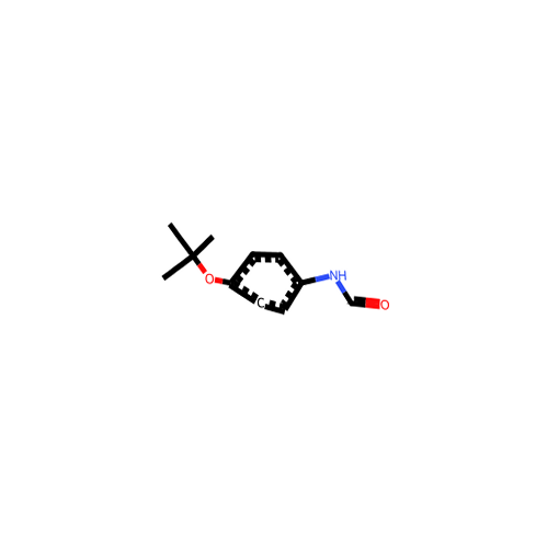 CC(C)(C)Oc1ccc(N[C]=O)cc1